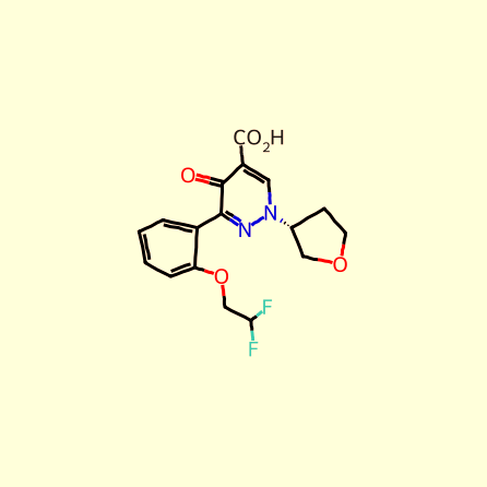 O=C(O)c1cn([C@@H]2CCOC2)nc(-c2ccccc2OCC(F)F)c1=O